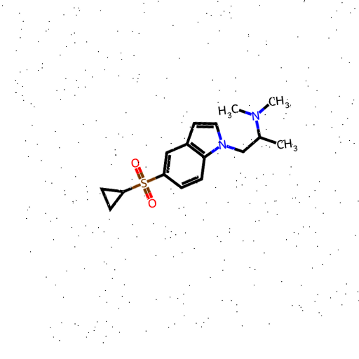 CC(Cn1ccc2cc(S(=O)(=O)C3CC3)ccc21)N(C)C